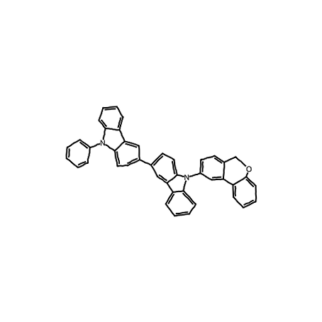 c1ccc(-n2c3ccccc3c3cc(-c4ccc5c(c4)c4ccccc4n5-c4ccc5c(c4)-c4ccccc4OC5)ccc32)cc1